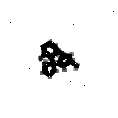 Fc1cccc(F)c1C1(c2ccc(Br)s2)CCC=N1